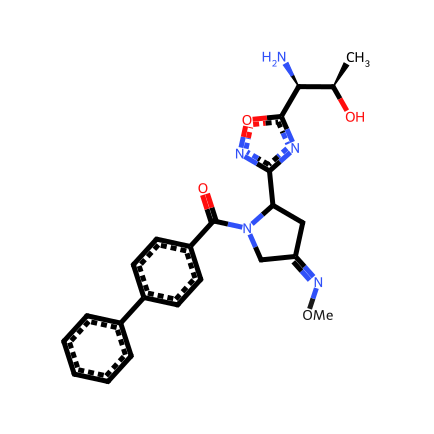 CON=C1CC(c2noc([C@@H](N)[C@@H](C)O)n2)N(C(=O)c2ccc(-c3ccccc3)cc2)C1